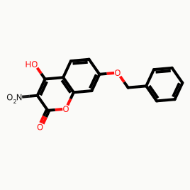 O=c1oc2cc(OCc3ccccc3)ccc2c(O)c1[N+](=O)[O-]